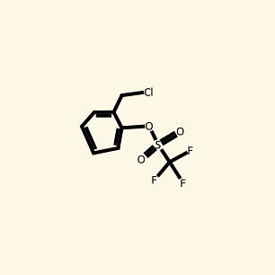 O=S(=O)(Oc1ccccc1CCl)C(F)(F)F